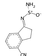 N#Cc1cccc2c1CC/C2=N\[S@+](N)[O-]